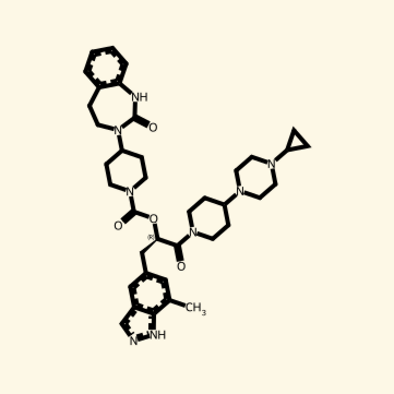 Cc1cc(C[C@@H](OC(=O)N2CCC(N3CCc4ccccc4NC3=O)CC2)C(=O)N2CCC(N3CCN(C4CC4)CC3)CC2)cc2cn[nH]c12